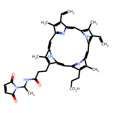 C=CC1=C(C)c2cc3[nH]c(cc4nc(cc5[nH]c(cc1n2)c(C)c5C=C)C(C)=C4CCC(=O)O)c(CCC(=O)NC(C)N1C(=O)C=CC1=O)c3C